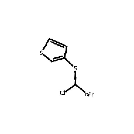 CCCC(Cl)Sc1ccsc1